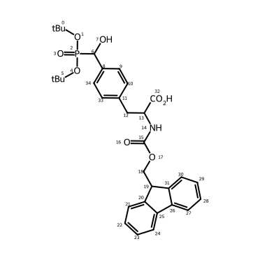 CC(C)(C)OP(=O)(OC(C)(C)C)C(O)c1ccc(CC(NC(=O)OCC2c3ccccc3-c3ccccc32)C(=O)O)cc1